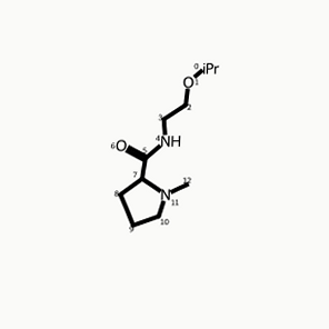 CC(C)OCCNC(=O)C1CCCN1C